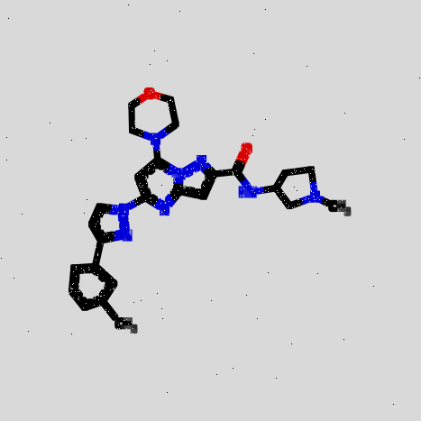 Cc1cccc(-c2ccn(-c3cc(N4CCOCC4)n4nc(C(=O)NC5CCN(C)C5)cc4n3)n2)c1